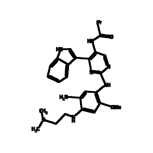 COc1cc(NCCN(C)C)c(N)cc1Nc1ncc(NC(=O)C(C)C)c(-c2c[nH]c3ccccc23)n1